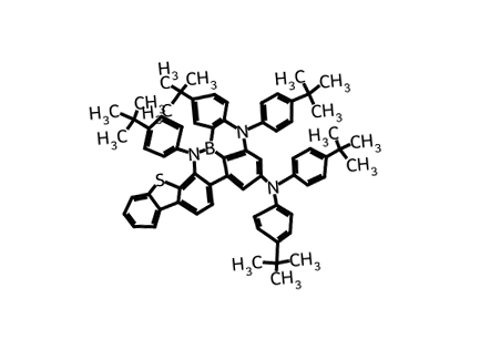 CC(C)(C)c1ccc(N2B3c4cc(C(C)(C)C)ccc4N(c4ccc(C(C)(C)C)cc4)c4cc(N(c5ccc(C(C)(C)C)cc5)c5ccc(C(C)(C)C)cc5)cc(c43)-c3ccc4c(sc5ccccc54)c32)cc1